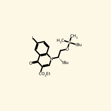 CCOC(=O)c1cn([C@H](CO[Si](C)(C)C(C)(C)C)C(C)(C)C)c2ccc(I)cc2c1=O